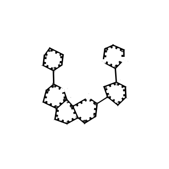 c1ccc(-c2ccc3ccc4ccc(-c5cccc(-c6ncccn6)c5)nc4c3n2)cc1